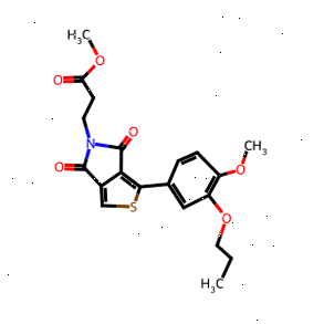 CCCOc1cc(-c2scc3c2C(=O)N(CCC(=O)OC)C3=O)ccc1OC